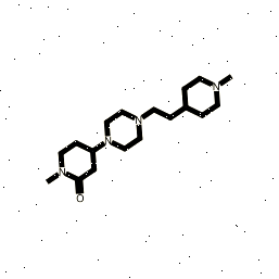 CN1CCC(CCN2CCN(C3CCN(C)C(=O)C3)CC2)CC1